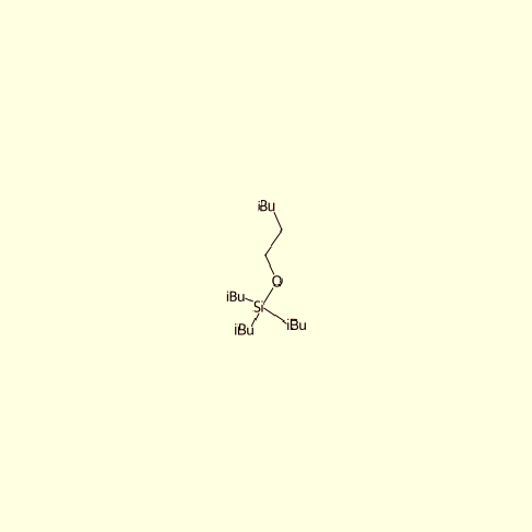 CCC(C)CCO[Si](C(C)CC)(C(C)CC)C(C)CC